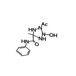 CC(=O)N1NC(C)(C(=O)Nc2ccccc2)NN1O